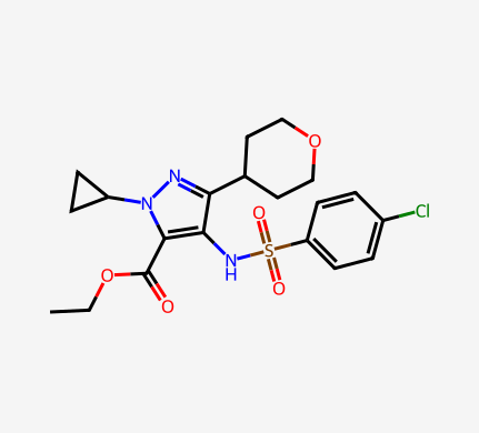 CCOC(=O)c1c(NS(=O)(=O)c2ccc(Cl)cc2)c(C2CCOCC2)nn1C1CC1